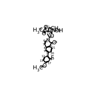 C=C[C@@](CCn1ccc2cc(-c3ccc(OC)cc3F)ccc2c1=O)(C(=O)NO)S(C)(=O)=O